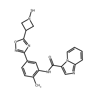 Cc1ccc(-c2noc(C3CN(S)C3)n2)cc1NC(=O)c1cnc2ccccn12